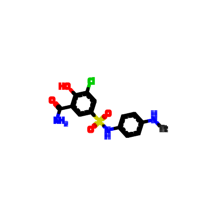 CCNc1ccc(NS(=O)(=O)c2cc(Cl)c(O)c(C(N)=O)c2)cc1